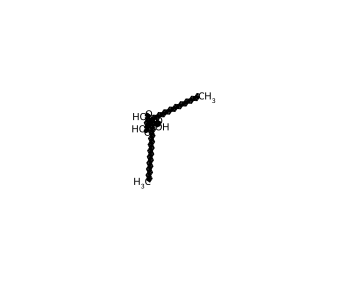 CCCCCCCCCCCCCCCCCCc1c(C(=O)O)cc(C(=O)O)c(CCCCCCCCCCCCCCCCCC)c1C(=O)O